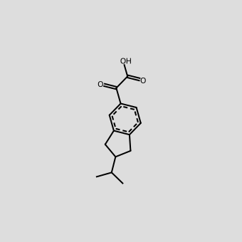 CC(C)C1Cc2ccc(C(=O)C(=O)O)cc2C1